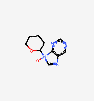 [O-][N+]1(C2CCCCO2)C=Nc2cncnc21